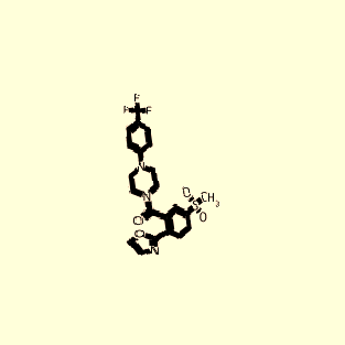 CS(=O)(=O)c1ccc(-c2ncco2)c(C(=O)N2CCN(c3ccc(C(F)(F)F)cc3)CC2)c1